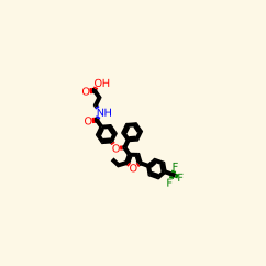 CCc1oc(-c2ccc(C(F)(F)F)cc2)cc1C(Oc1ccc(C(=O)NCCC(=O)O)cc1)c1ccccc1